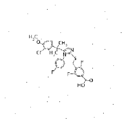 COc1ccc(C(C)(C)c2cnc(SCc3c(F)cc(C(=O)O)cc3F)n2-c2ccc(F)cc2)cc1Cl